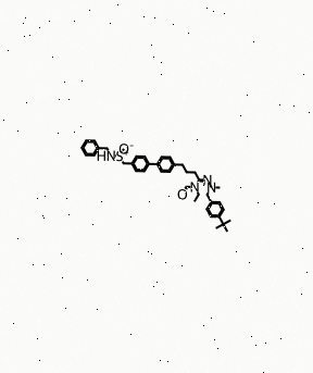 CCN(C=O)/C(CCCc1ccc(-c2ccc(C[S+]([O-])NCc3ccccc3)cc2)cc1)=N\N(C)Cc1ccc(C(C)(C)C)cc1